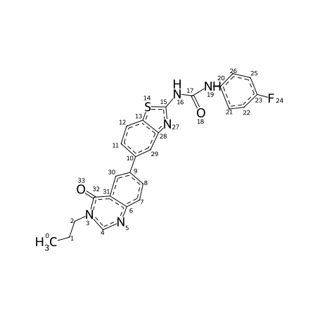 CCCn1cnc2ccc(-c3ccc4sc(NC(=O)Nc5ccc(F)cc5)nc4c3)cc2c1=O